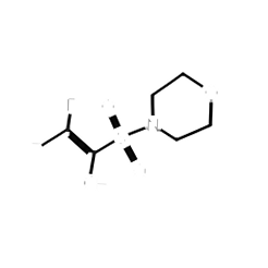 CC(=C(F)F)S(=O)(=O)N1CCOCC1